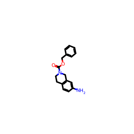 Nc1ccc2c(c1)CN(C(=O)OCc1ccccc1)CC2